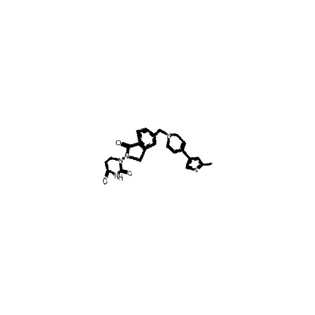 Cc1cc(C2=CCN(Cc3ccc4c(c3)CN(N3CCC(=O)NC3=O)C4=O)CC2)cs1